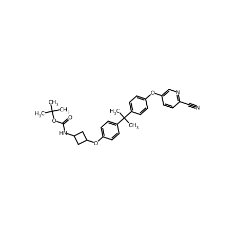 CC(C)(C)OC(=O)NC1CC(Oc2ccc(C(C)(C)c3ccc(Oc4ccc(C#N)nc4)cc3)cc2)C1